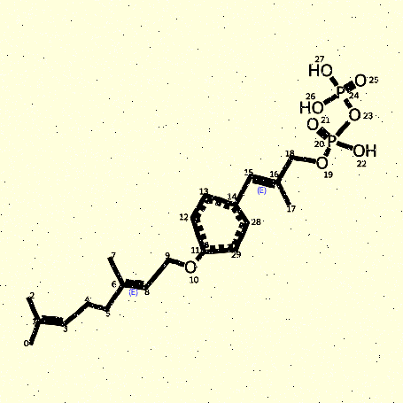 CC(C)=CCC/C(C)=C/COc1ccc(/C=C(\C)COP(=O)(O)OP(=O)(O)O)cc1